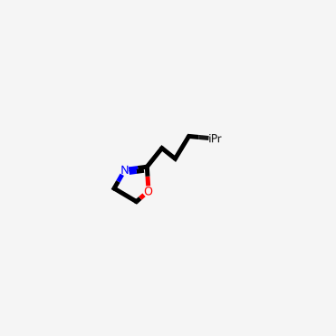 CC(C)CCCC1=NCCO1